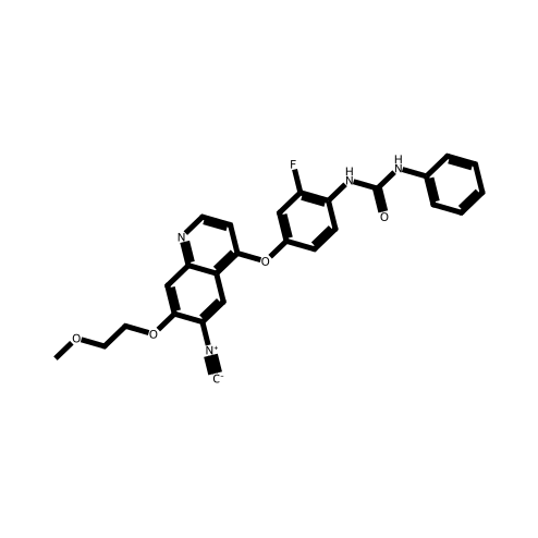 [C-]#[N+]c1cc2c(Oc3ccc(NC(=O)Nc4ccccc4)c(F)c3)ccnc2cc1OCCOC